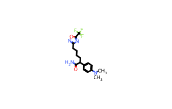 CN(C)c1ccc(C(CCCCc2noc(C(F)(F)F)n2)C(N)=O)cc1